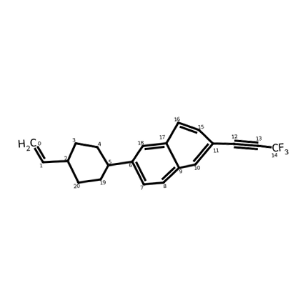 C=CC1CCC(c2ccc3cc(C#CC(F)(F)F)ccc3c2)CC1